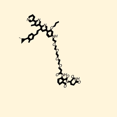 CCCOc1cc(NCCOCCOCCOCCOCCC(=O)Nc2cccc3c2C(=O)N(C2CCC(=O)NC2=O)C3=O)ccc1-c1cnc(-c2cnc(-c3cccnc3)c(C)c2)c(/C=C/c2ccc(C3C[C@@H]3C)c(C)c2)c1